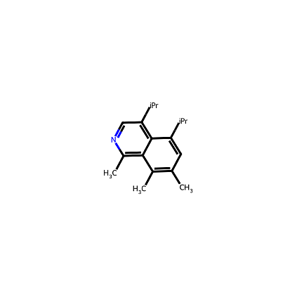 Cc1cc(C(C)C)c2c(C(C)C)cnc(C)c2c1C